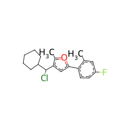 Cc1cc(F)ccc1-c1cc(C(Cl)C2CCCCC2)c(C)o1